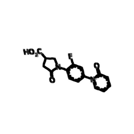 O=C(O)C1CC(=O)N(c2ccc(-n3ccccc3=O)cc2F)C1